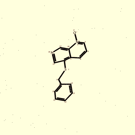 [O-][n+]1cccc2c(SCc3ccccc3)cncc21